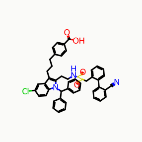 N#Cc1ccccc1-c1ccccc1CS(=O)(=O)NCCc1c(CCCc2ccc(C(=O)O)cc2)c2cc(Cl)ccc2n1C(c1ccccc1)c1ccccc1